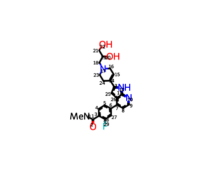 CNC(=O)c1ccc(-c2ccnc3[nH]c(C4=CCN(CC(O)CO)CC4)cc23)cc1F